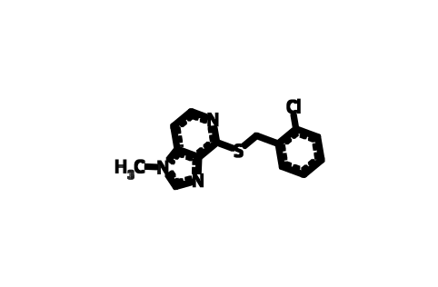 Cn1cnc2c(SCc3ccccc3Cl)nccc21